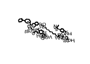 Cc1ncsc1-c1ccc([C@H](C)NC(=O)[C@@H]2C[C@@H](O)CN2C(=O)C(NC(=O)CCCCCCCCNC(=O)COc2ccc3c(c2)CN(C(=O)C(NC(=O)c2cc4cc(C(F)(F)P(=O)(O)O)ccc4s2)C(C)(C)C)C(C(=O)N2CCCC(c4ccccc4)C2)C3)C(C)(C)C)cc1